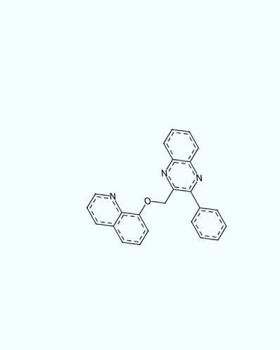 c1ccc(-c2nc3ccccc3nc2COc2cccc3cccnc23)cc1